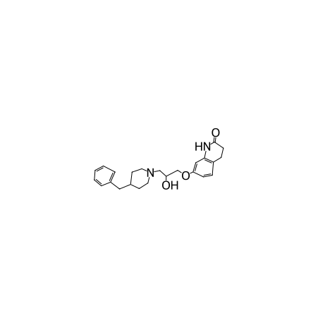 O=C1CCc2ccc(OCC(O)CN3CCC(Cc4ccccc4)CC3)cc2N1